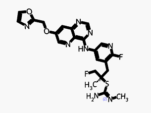 C/N=C(/N)S[C@@](C)(CF)Cc1cc(Nc2ncnc3cc(OCc4ncco4)cnc23)cnc1F